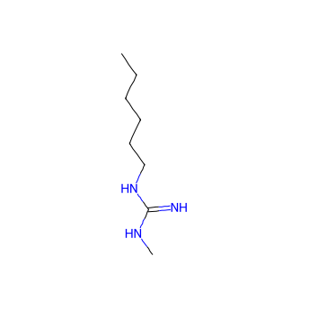 CCCCCCNC(=N)NC